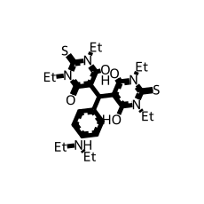 CCNCC.CCn1c(O)c(C(c2ccccc2)c2c(O)n(CC)c(=S)n(CC)c2=O)c(=O)n(CC)c1=S